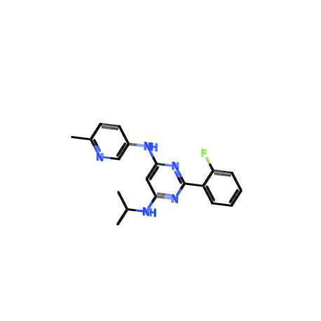 Cc1ccc(Nc2cc(NC(C)C)nc(-c3ccccc3F)n2)cn1